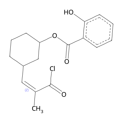 C/C(=C/C1CCCC(OC(=O)c2ccccc2O)C1)C(=O)Cl